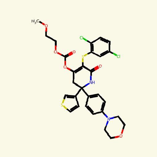 COCCOC(=O)OC1=C(Sc2cc(Cl)ccc2Cl)C(=O)NC(c2ccc(N3CCOCC3)cc2)(c2ccsc2)C1